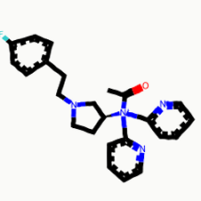 CC(=O)[N+](c1ccccn1)(c1ccccn1)[C@H]1CCN(CCc2ccc(F)cc2)C1